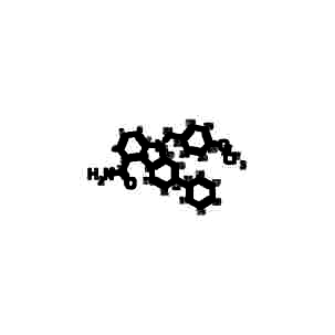 NC(=O)c1cccc2c1c1[c]cc(-c3ccccc3)cc1n2Cc1ccc(OC(F)(F)F)cc1